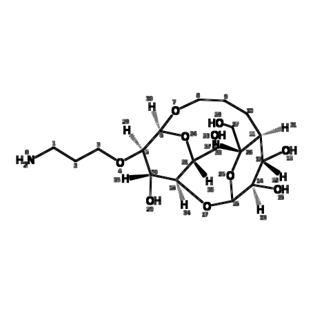 NCCCO[C@H]1[C@H]2OCCC[C@H]3[C@H](O)[C@@H](O)C(O[C@@H]([C@@H]1O)[C@@H](CO)O2)O[C@@H]3CO